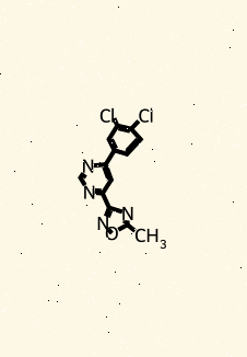 Cc1nc(-c2cc(-c3ccc(Cl)c(Cl)c3)ncn2)no1